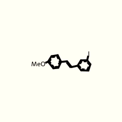 COc1ccc(C=Cc2cccc(I)c2)cc1